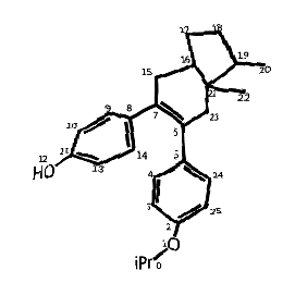 CC(C)Oc1ccc(C2=C(c3ccc(O)cc3)CC3CCC(C)C3(C)C2)cc1